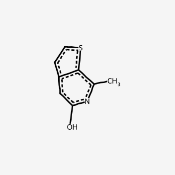 Cc1nc(O)cc2ccsc12